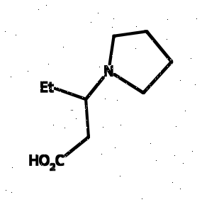 CCC(CC(=O)O)N1CCCC1